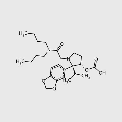 CCCCN(CCCC)C(=O)CN1CC[C@H](OC(=O)O)[C@@]1(c1ccc2c(c1)OCO2)C(C)C